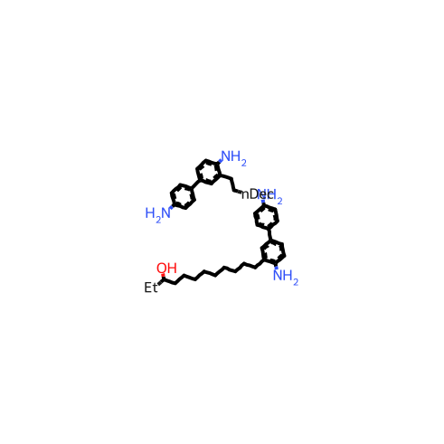 CCC(O)CCCCCCCCCc1cc(-c2ccc(N)cc2)ccc1N.CCCCCCCCCCCCc1cc(-c2ccc(N)cc2)ccc1N